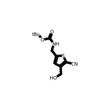 CC(C)(C)OC(=O)NCc1cc(CO)c(C#N)s1